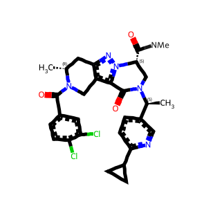 CNC(=O)[C@@H]1CN([C@@H](C)c2ccc(C3CC3)nc2)C(=O)c2c3c(nn21)C[C@@H](C)N(C(=O)c1ccc(Cl)c(Cl)c1)C3